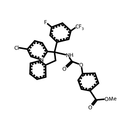 COC(=O)c1ccc(OC(=O)NC(Cc2ccccc2)(c2cc(F)cc(C(F)(F)F)c2)c2ccc(Cl)cn2)cc1